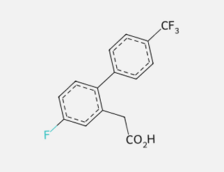 O=C(O)Cc1cc(F)ccc1-c1ccc(C(F)(F)F)cc1